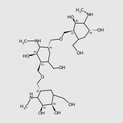 CNC1[C@H](COC[C@@H]2C(CO)C[C@@H](COC[C@@H]3C(CO)C[C@@H](O)C(NC)[C@@H]3O)C(NC)[C@@H]2O)CC(CO)[C@@H](O)[C@H]1O